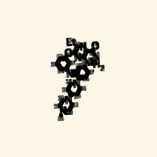 CCc1nc(C(N)=O)c(NC2C=CC(N3CCC(N4CCN(C)CC4)CC3)=CC2)nc1OC1=CC=CC(N)C1